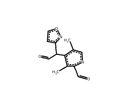 Cc1cnc(C=O)c(C)c1C(C=O)c1ccon1